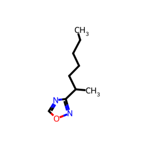 CCCCCC(C)c1ncon1